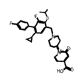 CC(C)Oc1c(CN2CCC(N3CCC(C(=O)O)=CC3=O)CC2)cc(C2CC2)c(-c2ccc(F)cc2)c1F